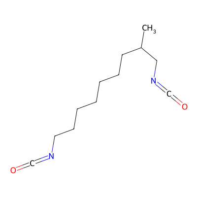 CC(CCCCCCCN=C=O)CN=C=O